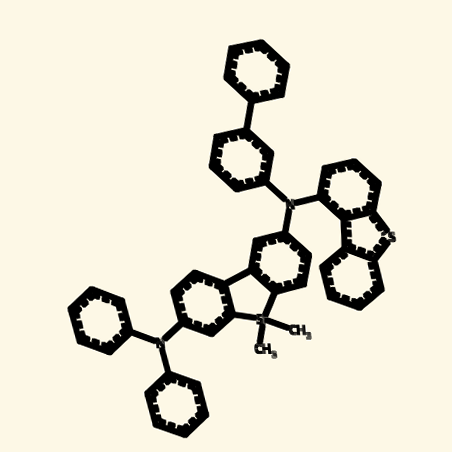 C[Si]1(C)c2ccc(N(c3cccc(-c4ccccc4)c3)c3cccc4sc5ccccc5c34)cc2-c2ccc(N(c3ccccc3)c3ccccc3)cc21